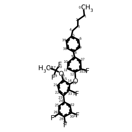 CCCCCc1ccc(-c2ccc(Oc3c(OC(C)(F)F)ccc(-c4cc(F)c(F)c(F)c4)c3F)c(F)c2)cc1